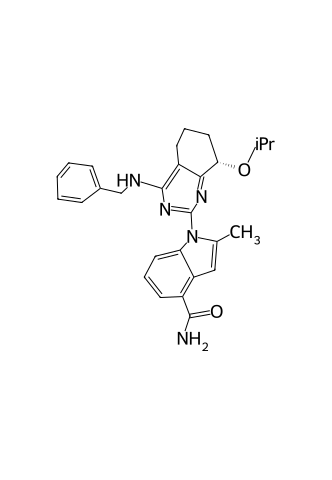 Cc1cc2c(C(N)=O)cccc2n1-c1nc(NCc2ccccc2)c2c(n1)[C@@H](OC(C)C)CCC2